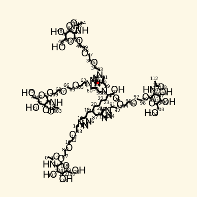 CC(=O)NC1C(OCCOCCOCCn2cc(CC(CCCCC(C(=O)O)N(Cc3cn(CCOCCOCCOC4OC(CO)C(O)C(O)C4NC(C)=O)nn3)Cc3cn(CCOCCOCCOC4OC(CO)C(O)C(O)C4NC(C)=O)nn3)Cc3cn(CCOCCOCCOC4OC(CO)C(O)C(O)C4NC(C)=O)nn3)nn2)OC(CO)C(O)C1O